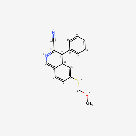 COCSc1ccc2cnc(C#N)c(-c3ccccc3)c2c1